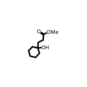 COC(=O)CCC1(O)CCCCC1